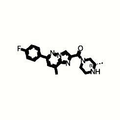 Cc1cc(-c2ccc(F)cc2)nn2cc(C(=O)N3CCN[C@@H](C)C3)nc12